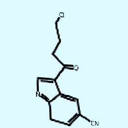 N#CC1=CCC2=NC=C(C(=O)CCCCl)C2=C1